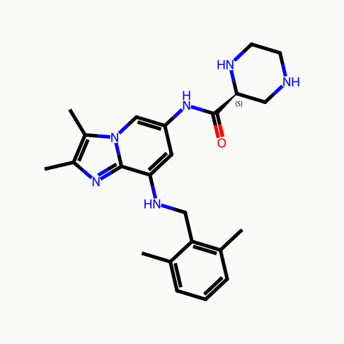 Cc1cccc(C)c1CNc1cc(NC(=O)[C@@H]2CNCCN2)cn2c(C)c(C)nc12